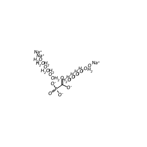 O.O.O.O.O.O.O.O.O.O.O.O.O=C([O-])P(=O)([O-])[O-].[Na+].[Na+].[Na+]